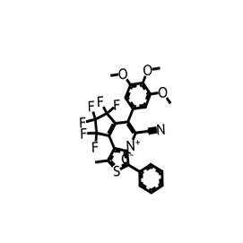 [C-]#[N+]/C(C#N)=C(\C1=C(c2cc(-c3ccccc3)sc2C)C(F)(F)C(F)(F)C1(F)F)c1cc(OC)c(OC)c(OC)c1